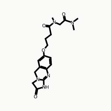 CN(C)C(=O)CN(C)C(=O)CCCOc1ccc2c(c1)CN1CC(=O)NC1=N2